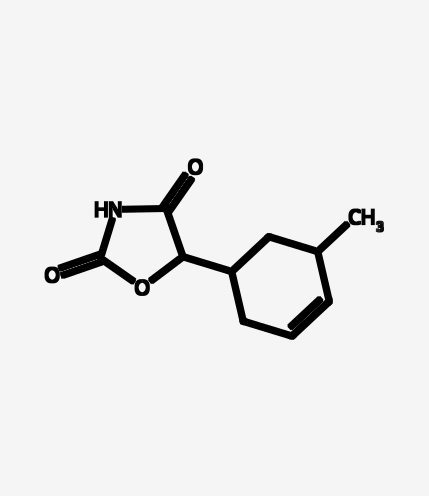 CC1C=CCC(C2OC(=O)NC2=O)C1